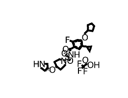 O=C(NS(=O)(=O)N1CCC(O[C@@H]2CCNC2)CC1)c1cc(C2CC2)c(OCC2CCCC2)cc1F.O=C(O)C(F)(F)F